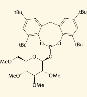 COC[C@H]1O[C@@H](OP2Oc3c(cc(C(C)(C)C)cc3C(C)(C)C)Cc3cc(C(C)(C)C)cc(C(C)(C)C)c3O2)[C@H](OC)[C@@H](OC)[C@@H]1OC